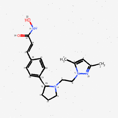 Cc1cc(C)n(CCN2CCC[C@H]2c2ccc(C=CC(=O)NO)cc2)n1